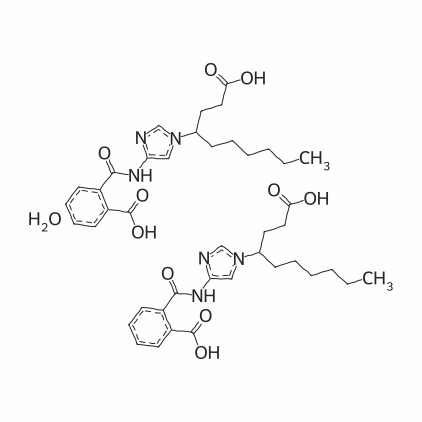 CCCCCCC(CCC(=O)O)n1cnc(NC(=O)c2ccccc2C(=O)O)c1.CCCCCCC(CCC(=O)O)n1cnc(NC(=O)c2ccccc2C(=O)O)c1.O